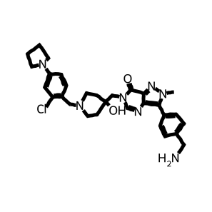 Cn1nc2c(=O)n(CC3(O)CCN(Cc4ccc(N5CCCC5)cc4Cl)CC3)cnc2c1-c1ccc(CN)cc1